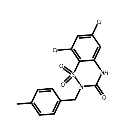 Cc1ccc(CN2C(=O)Nc3cc(Cl)cc(Cl)c3S2(=O)=O)cc1